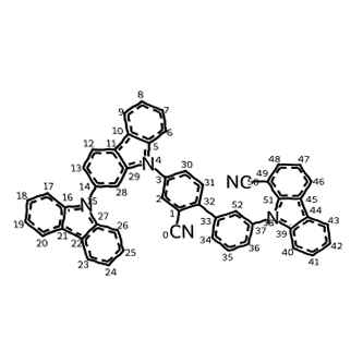 N#Cc1cc(-n2c3ccccc3c3ccc(-n4c5ccccc5c5ccccc54)cc32)ccc1-c1cccc(-n2c3ccccc3c3cccc(C#N)c32)c1